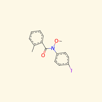 CON(C(=O)c1ccccc1C)c1ccc(I)cc1